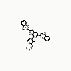 CC(=O)Oc1ccccc1OCc1cc(-c2ccnc(CN)c2F)c2oc(COc3ccccc3OC(C)=O)cc2c1